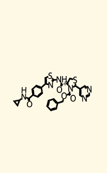 O=C(NC1CC1)c1ccc(-c2csc(NC(=O)[C@@H]3CSC(c4cncnc4)N3C(=O)OCc3ccccc3)n2)cc1